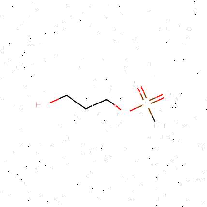 CCCS(=O)(=O)OCCCO